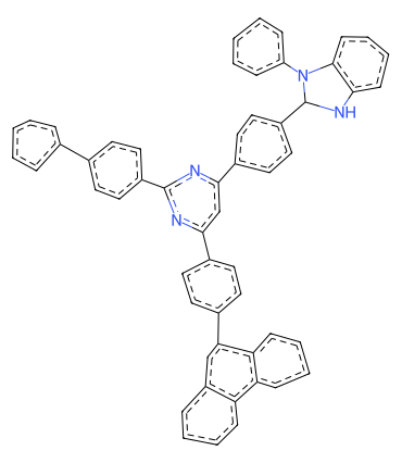 c1ccc(-c2ccc(-c3nc(-c4ccc(-c5cc6ccccc6c6ccccc56)cc4)cc(-c4ccc(C5Nc6ccccc6N5c5ccccc5)cc4)n3)cc2)cc1